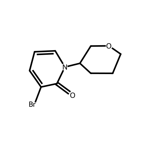 O=c1c(Br)cccn1C1CCCOC1